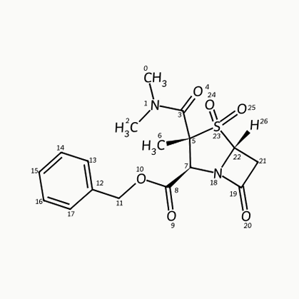 CN(C)C(=O)[C@@]1(C)[C@H](C(=O)OCc2ccccc2)N2C(=O)C[C@H]2S1(=O)=O